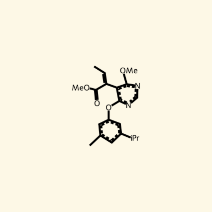 CC=C(C(=O)OC)c1c(OC)ncnc1Oc1cc(C)cc(C(C)C)c1